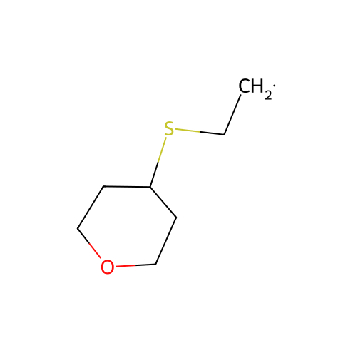 [CH2]CSC1CCOCC1